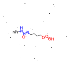 CCCN[N+]([O-])=NCCCCOOO